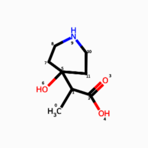 CC(C(=O)O)C1(O)CCNCC1